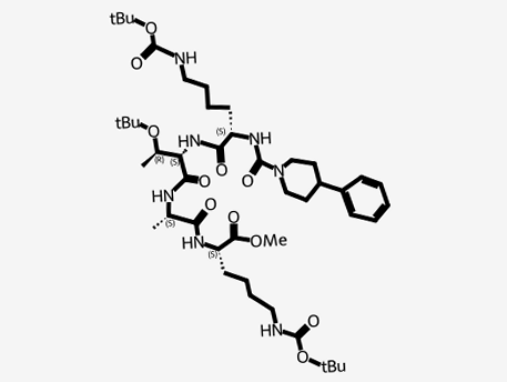 COC(=O)[C@H](CCCCNC(=O)OC(C)(C)C)NC(=O)[C@H](C)NC(=O)[C@@H](NC(=O)[C@H](CCCCNC(=O)OC(C)(C)C)NC(=O)N1CCC(c2ccccc2)CC1)[C@@H](C)OC(C)(C)C